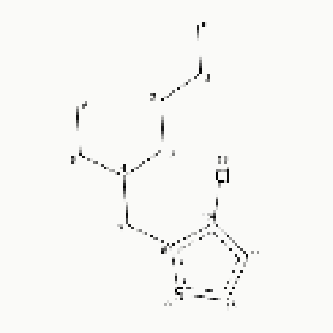 CCCCC(CC)Cc1s[c]cc1Cl